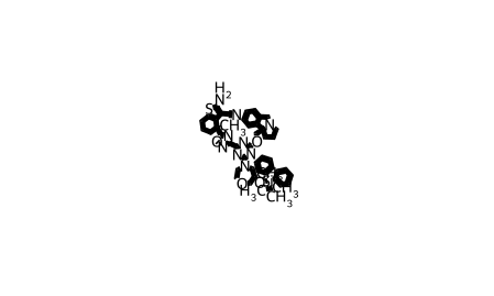 CC1(O[Si](c2ccccc2)(c2ccccc2)C(C)(C)C)COCCN(c2nc(OCC34CCCN3Cc3ccccc34)nc(-c3noc([C@@]4(C)CCCc5sc(N)c(C#N)c54)n3)n2)C1